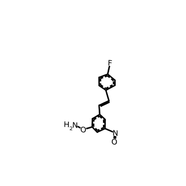 NOc1cc(/C=C/c2ccc(F)cc2)cc(N=O)c1